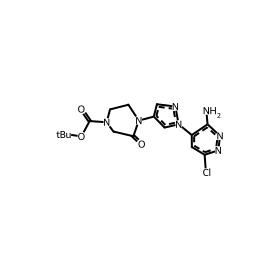 CC(C)(C)OC(=O)N1CCN(c2cnn(-c3cc(Cl)nnc3N)c2)C(=O)C1